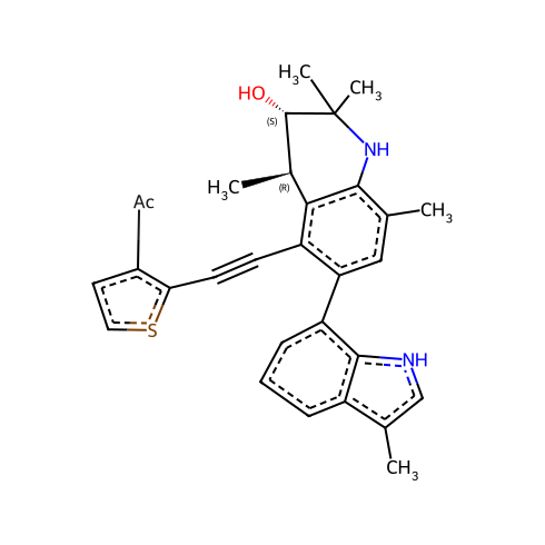 CC(=O)c1ccsc1C#Cc1c(-c2cccc3c(C)c[nH]c23)cc(C)c2c1[C@@H](C)[C@H](O)C(C)(C)N2